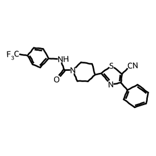 N#Cc1sc(C2CCN(C(=O)Nc3ccc(C(F)(F)F)cc3)CC2)nc1-c1ccccc1